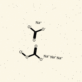 O=C([O-])O[O-].O=C([O-])[O-].[Na+].[Na+].[Na+].[Na+]